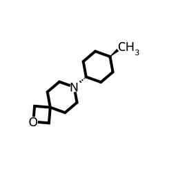 C[C@H]1CC[C@H](N2CCC3(CC2)COC3)CC1